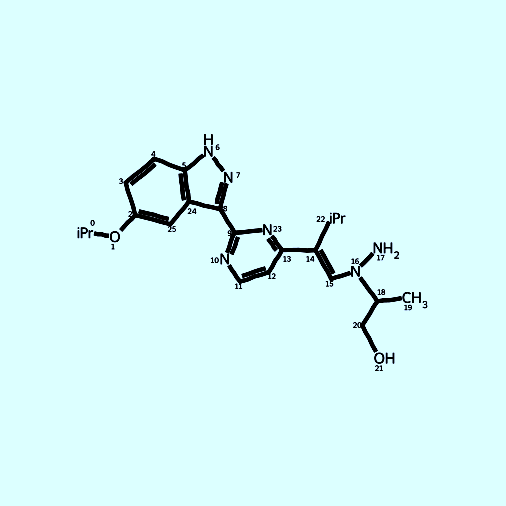 CC(C)Oc1ccc2[nH]nc(-c3nccc(/C(=C/N(N)C(C)CO)C(C)C)n3)c2c1